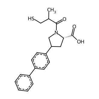 CC(CS)C(=O)N1CC(c2ccc(-c3ccccc3)cc2)C[C@H]1C(=O)O